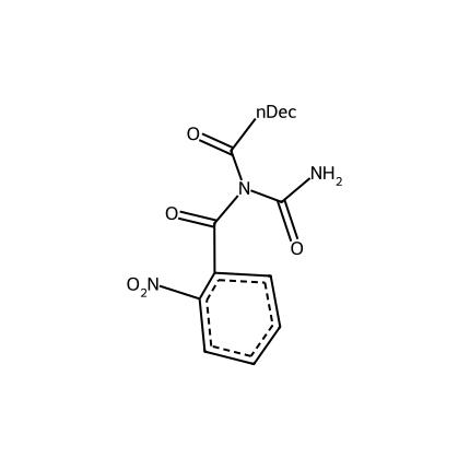 CCCCCCCCCCC(=O)N(C(N)=O)C(=O)c1ccccc1[N+](=O)[O-]